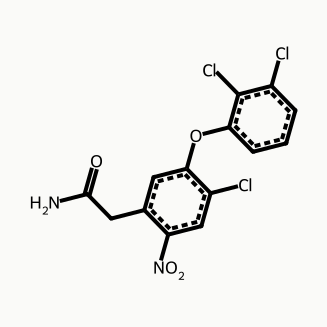 NC(=O)Cc1cc(Oc2cccc(Cl)c2Cl)c(Cl)cc1[N+](=O)[O-]